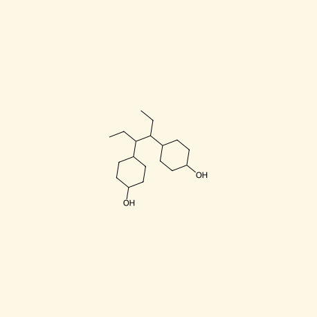 CCC(C1CCC(O)CC1)C(CC)C1CCC(O)CC1